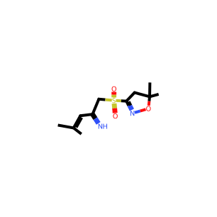 CC(C)=CC(=N)CS(=O)(=O)C1=NOC(C)(C)C1